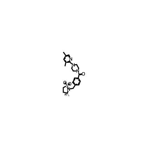 Cc1cnc(N2CCN(C(=O)c3ccc(CN4[C@H](C)CCS4(=O)=O)cc3)CC2)c(C)c1